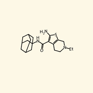 CCN1CCc2c(sc(N)c2C(=O)NC23CC4CC(CC(C4)C2)C3)C1